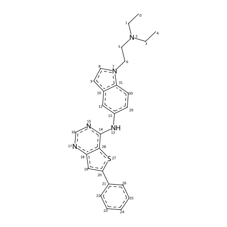 CCN(CC)CCn1ccc2cc(Nc3ncnc4cc(-c5ccccc5)sc34)ccc21